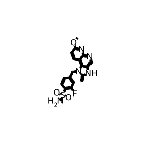 C=C1Nc2cnc3nc(OC)ccc3c2N1Cc1ccc(S(N)(=O)=O)c(F)c1